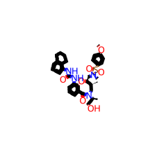 COc1ccc(S(=O)(=O)N(C)C[C@@H]2Oc3c(NC(=O)Nc4cccc5c4CCCC5)cccc3C(=O)N([C@@H](C)CO)C[C@H]2C)cc1